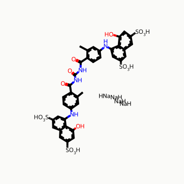 Cc1cc(Nc2cc(S(=O)(=O)O)cc3cc(S(=O)(=O)O)cc(O)c23)ccc1C(=O)NC(=O)NC(=O)c1ccc(Nc2cc(S(=O)(=O)O)cc3cc(S(=O)(=O)O)cc(O)c23)cc1C.[NaH].[NaH].[NaH].[NaH]